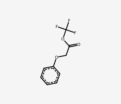 O=C(COc1ccccc1)OC(F)(F)F